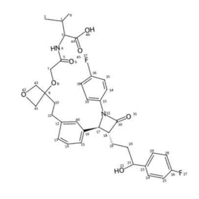 CC(C)C(NC(=O)COC1(CCc2cccc([C@@H]3[C@@H](CCC(O)c4ccc(F)cc4)C(=O)N3c3ccc(F)cc3)c2)COC1)C(=O)O